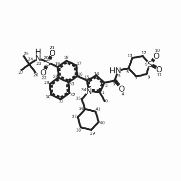 Cc1c(C(=O)NC2CCS(=O)(=O)CC2)cc(-c2ccc(S(=O)(=O)NC(C)(C)C)c3ccccc23)n1CC1CCCCC1